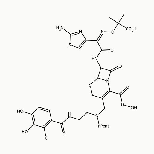 CCCCCN(CCNC(=O)c1ccc(O)c(O)c1Cl)CC1=C(C(=O)OO)N2C(=O)C(NC(=O)/C(=N\OC(C)(C)C(=O)O)c3csc(N)n3)C2SC1